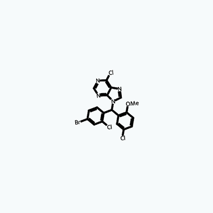 COc1ccc(Cl)cc1C(c1ccc(Br)cc1Cl)n1cnc2c(Cl)ncnc21